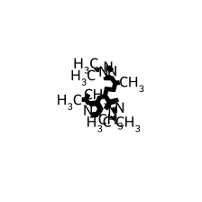 Cc1cnc(C(C)C)c(CC(CCC(C)c2cn(C(C)C)nn2)c2cnn(C(C)C)c2)c1